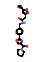 Cc1cc(CC(=O)NCc2ccc(-c3nc(C(=O)N4CCCCC4)co3)cc2)on1